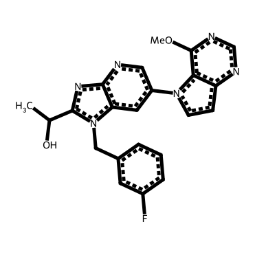 COc1ncnc2ccn(-c3cnc4nc(C(C)O)n(Cc5cccc(F)c5)c4c3)c12